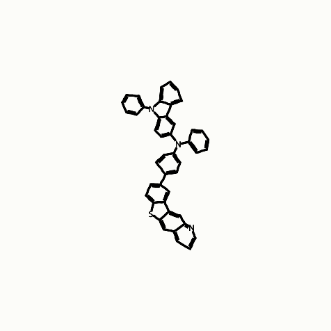 c1ccc(N(c2ccc(-c3ccc4sc5cc6cccnc6cc5c4c3)cc2)c2ccc3c(c2)c2ccccc2n3-c2ccccc2)cc1